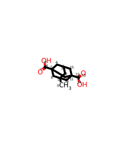 CC12C[C]3CC(C(=O)O)(C1)CC(C(=O)O)(C3)C2